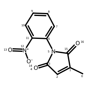 CC1=CC(=O)N(c2ccccc2[N+](=O)[O-])C1=O